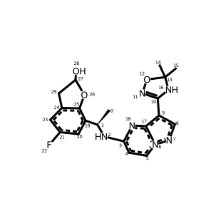 C[C@@H](Nc1ccn2ncc(C3=NOC(C)(C)N3)c2n1)c1cc(F)cc2c1OC(O)C2